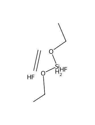 C=C.CCO[SiH2]OCC.F.F